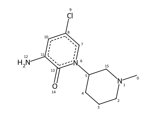 CN1CCCC(n2cc(Cl)cc(N)c2=O)C1